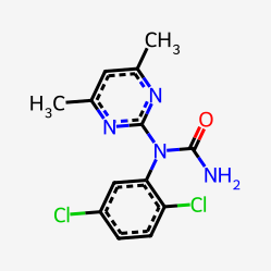 Cc1cc(C)nc(N(C(N)=O)c2cc(Cl)ccc2Cl)n1